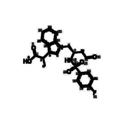 CC(C(=O)O)c1cn(C[C@@H](CC=O)NS(=O)(=O)c2ccc(F)cc2)c2ncccc12